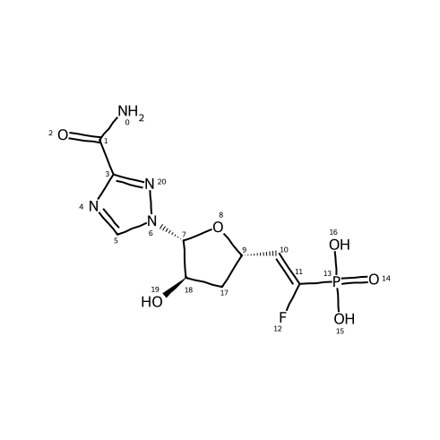 NC(=O)c1ncn([C@@H]2O[C@H](/C=C(\F)P(=O)(O)O)C[C@H]2O)n1